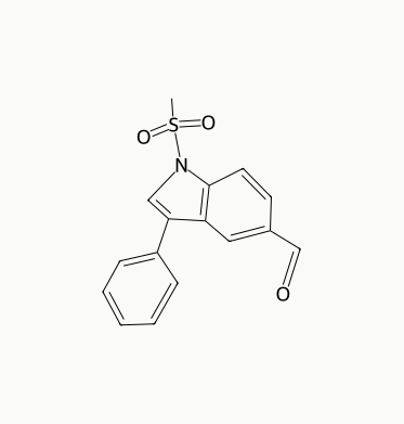 CS(=O)(=O)n1cc(-c2ccccc2)c2cc(C=O)ccc21